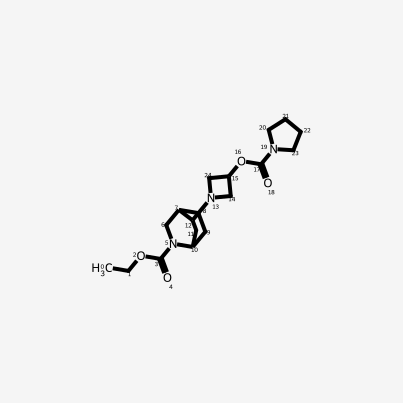 CCOC(=O)N1CC2CCC1CC2N1CC(OC(=O)N2CCCC2)C1